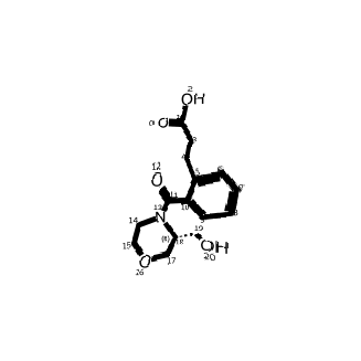 O=C(O)CCc1ccccc1C(=O)N1CCOC[C@H]1CO